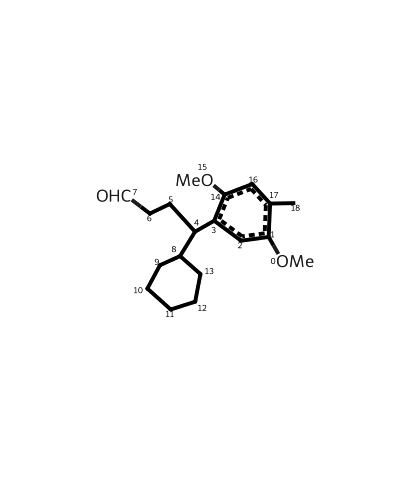 COc1cc(C(CCC=O)C2CCCCC2)c(OC)cc1C